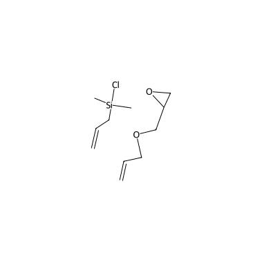 C=CCOCC1CO1.C=CC[Si](C)(C)Cl